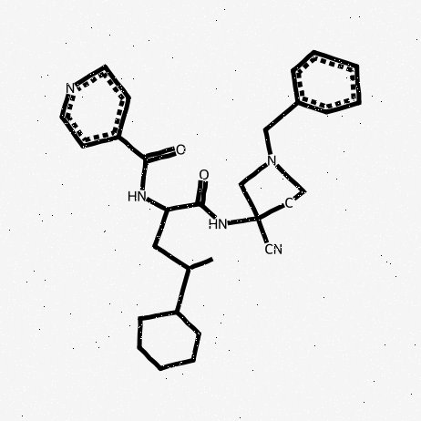 CC(CC(NC(=O)c1ccncc1)C(=O)NC1(C#N)CCN(Cc2ccccc2)C1)C1CCCCC1